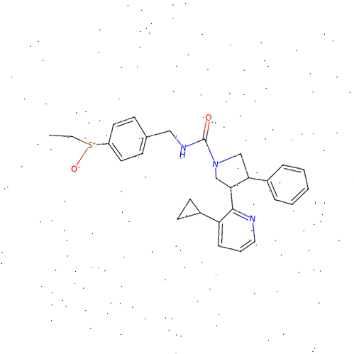 CC[S+]([O-])c1ccc(CNC(=O)N2CC(c3ccccc3)C(c3ncccc3C3CC3)C2)cc1